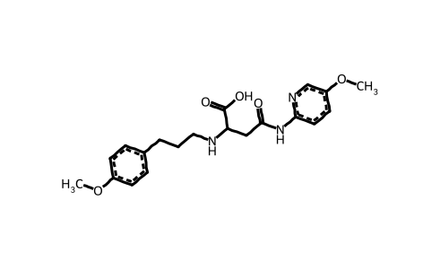 COc1ccc(CCCNC(CC(=O)Nc2ccc(OC)cn2)C(=O)O)cc1